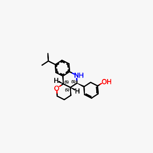 CC(C)c1ccc2c(c1)[C@H]1OCCC[C@H]1[C@H](C1C=CC=C(O)C1)N2